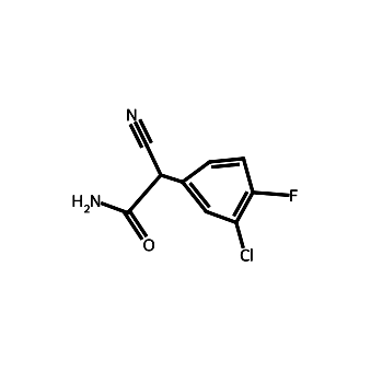 N#CC(C(N)=O)c1ccc(F)c(Cl)c1